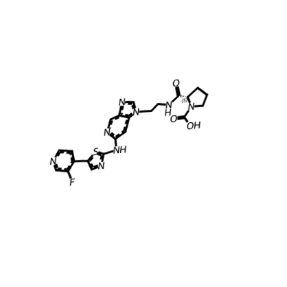 O=C(NCCn1cnc2cnc(Nc3ncc(-c4ccncc4F)s3)cc21)[C@@H]1CCCN1C(=O)O